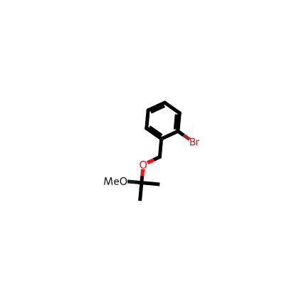 COC(C)(C)OCc1ccccc1Br